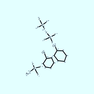 F[B-](F)(F)F.F[B-](F)(F)F.F[B-](F)(F)F.[Au+3].[C-]#[N+]C1CCCCC1.[C-]#[N+]C1CCCCC1